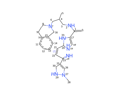 C=C(NCC(C)CN1CCc2ccccc2C1)C1=CNC(/C=C\C(=N)C2=CN(C)NC2)N1